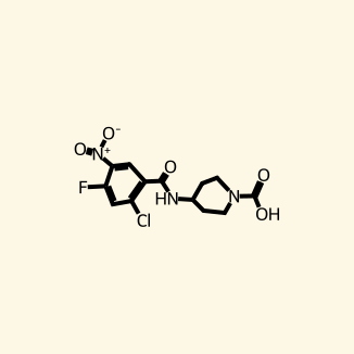 O=C(NC1CCN(C(=O)O)CC1)c1cc([N+](=O)[O-])c(F)cc1Cl